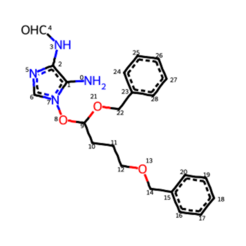 Nc1c(NC=O)ncn1OC(CCCOCc1ccccc1)OCc1ccccc1